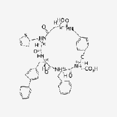 O=C(O)C[C@@H]1Cc2ccc(cc2)NC(=O)[C@H](O)CC(=O)N[C@H](CC2CC=CS2)C(=O)N[C@@H](Cc2ccc(-c3ccccc3)cc2)C(=O)N[C@H](Cc2ccccc2)C(=O)N1